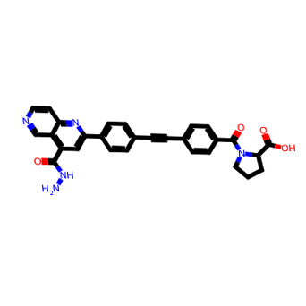 NNC(=O)c1cc(-c2ccc(C#Cc3ccc(C(=O)N4CCCC4C(=O)O)cc3)cc2)nc2ccncc12